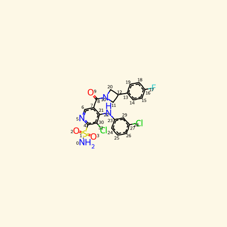 NS(=O)(=O)c1ncc(C(=O)N2CC(c3ccc(F)cc3)C2)c(Nc2cccc(Cl)c2)c1Cl